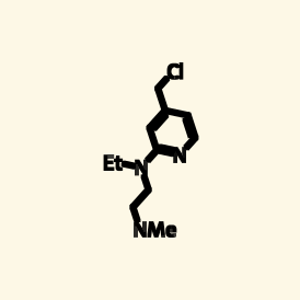 CCN(CCNC)c1cc(CCl)ccn1